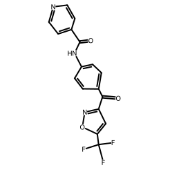 O=C(Nc1ccc(C(=O)c2cc(C(F)(F)F)on2)cc1)c1ccncc1